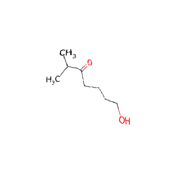 CC(C)C(=O)CCCCO